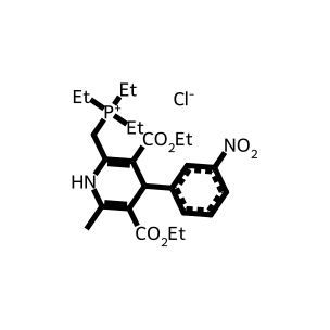 CCOC(=O)C1=C(C)NC(C[P+](CC)(CC)CC)=C(C(=O)OCC)C1c1cccc([N+](=O)[O-])c1.[Cl-]